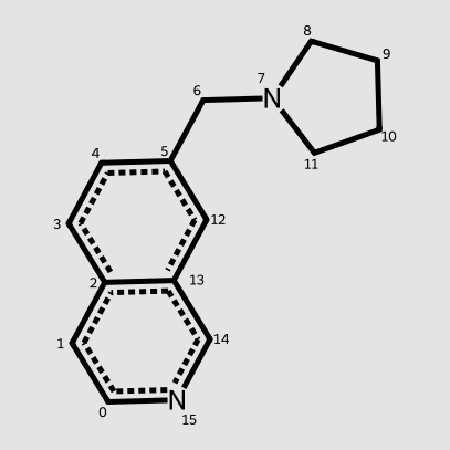 c1cc2ccc(CN3CCCC3)cc2cn1